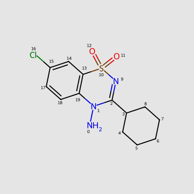 NN1C(C2CCCCC2)=NS(=O)(=O)c2cc(Cl)ccc21